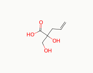 C=CCC(O)(CO)C(=O)O